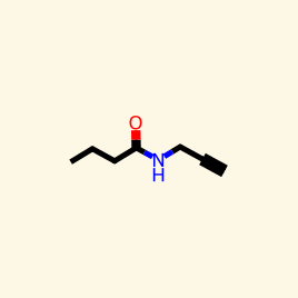 C#CCNC(=O)CCC